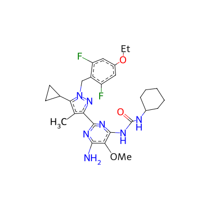 CCOc1cc(F)c(Cn2nc(-c3nc(N)c(OC)c(NC(=O)NC4CCCCC4)n3)c(C)c2C2CC2)c(F)c1